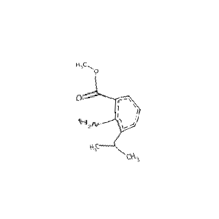 COC(=O)c1cccc(C(C)C)c1N